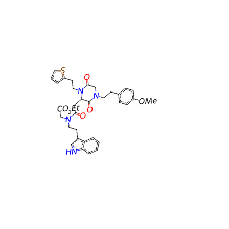 CCOC(=O)CN(CCc1c[nH]c2ccccc12)C(=O)CC1C(=O)N(CCc2ccc(OC)cc2)CC(=O)N1CCc1cccs1